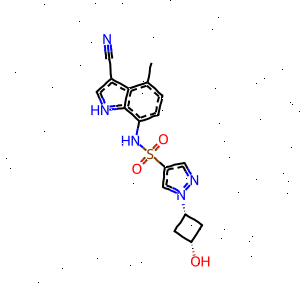 Cc1ccc(NS(=O)(=O)c2cnn([C@H]3C[C@@H](O)C3)c2)c2[nH]cc(C#N)c12